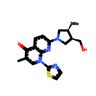 CN[C@H]1CN(c2ccc3c(=O)c(C)cn(-c4nccs4)c3n2)C[C@@H]1CO